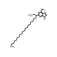 CCCCCCCCCCCCCCCCCCOC(CC)c1nc(N)c2nc[nH]c2n1